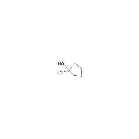 O[Si]1(O)CCCC1